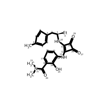 CC[C@H](Cc1ccc(C)cc1)Nc1c(Nc2cccc(C(=O)N(C)C)c2O)c(=O)c1=O